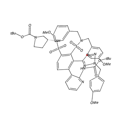 COc1ccc(CN(Cc2ccc(OC)cc2)S(=O)(=O)c2c(S(=O)(=O)N[C@@H]3CCN(C(=O)OC(C)(C)C)C3)ccc(-c3cccnc3NC(=O)OC(C)(C)C)c2-c2nnn(Cc3ccc(OC)cc3)n2)cc1